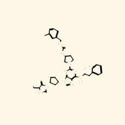 O=C(NCc1cccc(O)c1)NC1CCN(c2nc(N[C@H](CO)Cc3ccccc3)c3ncn([C@@H]4C[C@H](N5C(=O)NC(CO)C5=O)[C@@H](O)[C@H]4O)c3n2)C1